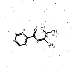 CC(=CC(=O)c1ccccn1)N(C)C